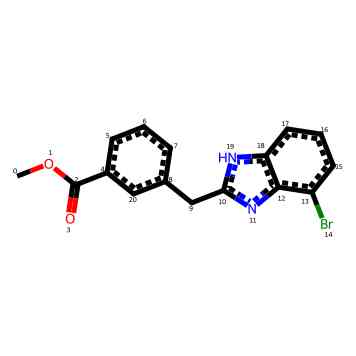 COC(=O)c1cccc(Cc2nc3c(Br)cccc3[nH]2)c1